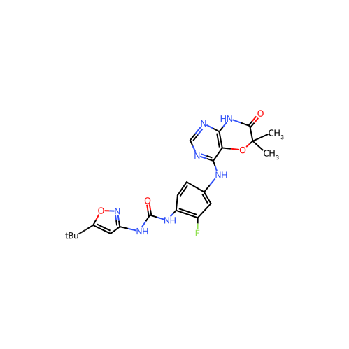 CC1(C)Oc2c(ncnc2Nc2ccc(NC(=O)Nc3cc(C(C)(C)C)on3)c(F)c2)NC1=O